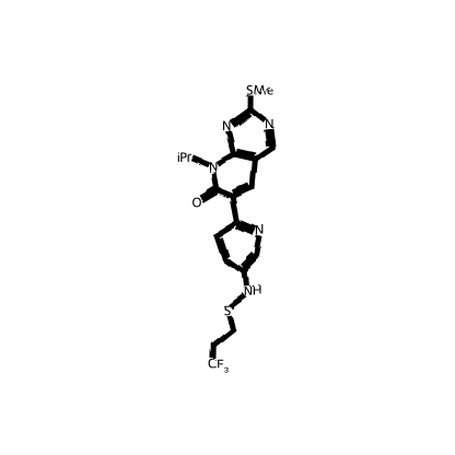 CSc1ncc2cc(-c3ccc(NSCCC(F)(F)F)cn3)c(=O)n(C(C)C)c2n1